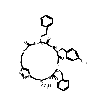 O=C1CCCc2cn(nn2)C[C@@H](C(=O)O)NC(=O)[C@@H](Cc2ccccc2)NC(=O)[C@H](Cc2ccc(C(F)(F)F)cc2)NC(=O)[C@@H](CCc2ccccc2)N1